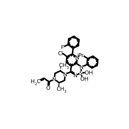 C=CC(=O)N1C[C@H](C)N(C2=NS(O)(O)N(c3ccccc3C(C)C)c3nc(-c4ccccc4F)c(Cl)cc32)C[C@H]1C